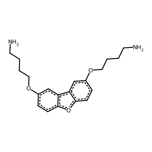 NCCCCOc1ccc2oc3ccc(OCCCCN)cc3c2c1